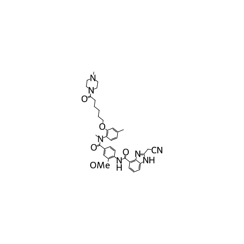 COc1cc(C(=O)N(C)c2ccc(C)cc2OCCCCCC(=O)N2CCN(C)CC2)ccc1NC(=O)c1cccc2[nH]c(CC#N)nc12